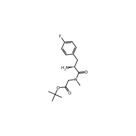 CN(CC(=O)OC(C)(C)C)C(=O)[C@@H](N)Cc1ccc(F)cc1